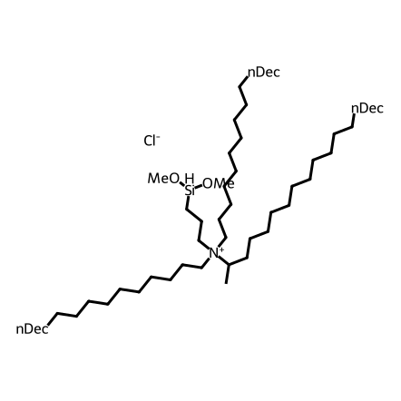 CCCCCCCCCCCCCCCCCCCCCC(C)[N+](CCCCCCCCCCCCCCCCCCCC)(CCCCCCCCCCCCCCCCCCCC)CCC[SiH](OC)OC.[Cl-]